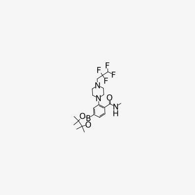 CNC(=O)c1ccc(B2OC(C)(C)C(C)(C)O2)cc1N1CCN(CC(F)(F)C(F)F)CC1